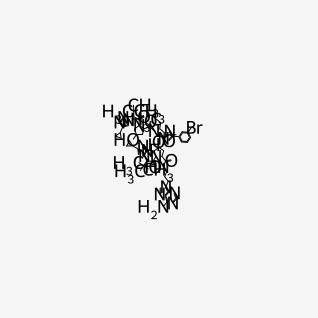 CCC(NC(=O)C1CC(O)CN1C(=O)C(n1cc(C2CC2)nn1)C(C)(C)C)c1nc(-c2cccc(Br)c2)o[n+]1OC1CC(C(=O)NCCCn2cnc3c(N)ncnc32)N(C(=O)C(n2cc(C3CC3)nn2)C(C)(C)C)C1